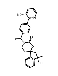 C[C@@H](c1ccc(-c2ncccc2C#N)cc1)N1CCC(CC(C)(C)O)(c2ccccc2)OC1=O